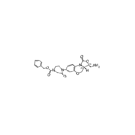 NC[C@@H]1OC(=O)N2c3ccc(N4CCN(C(=O)OCc5ccccc5)CC4=O)cc3OC[C@@H]12